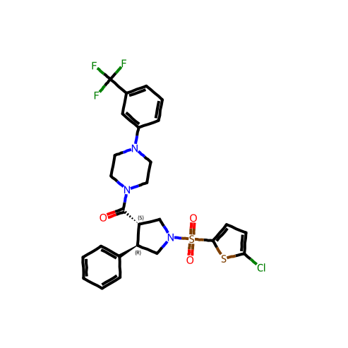 O=C([C@@H]1CN(S(=O)(=O)c2ccc(Cl)s2)C[C@H]1c1ccccc1)N1CCN(c2cccc(C(F)(F)F)c2)CC1